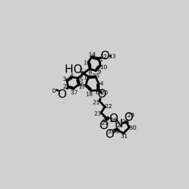 COc1ccc(C(O)(c2ccc(OC)cc2)c2ccc(OCCCC(=O)ON3C(=O)CCC3=O)cc2)cc1